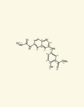 CCNC(=O)Nc1ccc2ncc(Nc3ccc(O)c(C(=O)OC)c3)nc2n1